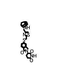 O=C1CCC(N2Cc3cc(SCc4nc(CNC5C6CC7CC(C6)C5C7)cs4)ccc3C2=O)C(=O)N1